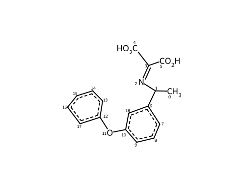 CC(N=C(C(=O)O)C(=O)O)c1cccc(Oc2ccccc2)c1